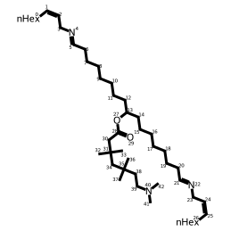 CCCCCC/C=C\C/N=C/CCCCCCCC(CCCCCCC/C=N/C/C=C\CCCCCC)OC(=O)CC(C)(C)CC(C)(C)CCN(C)C